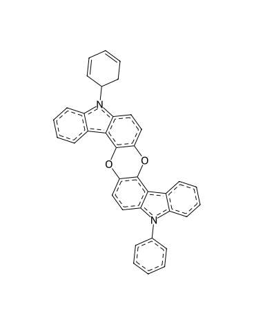 C1=CCC(n2c3ccccc3c3c4c(ccc32)Oc2c(ccc3c2c2ccccc2n3-c2ccccc2)O4)C=C1